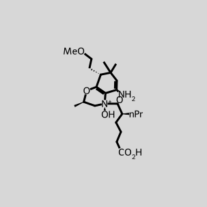 CCC[C@@H](CCCC(=O)O)C(=O)[N@+]1(O)C[C@@H](C)OC2=C1C(N)=CC(C)(C)[C@H]2CCOC